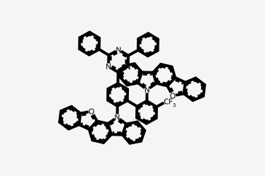 FC(F)(F)c1cccc(-c2cc(-c3nc(-c4ccccc4)nc(-c4ccccc4)n3)ccc2-n2c3ccccc3c3ccc4c5ccccc5oc4c32)c1-n1c2ccccc2c2ccc3c4ccccc4oc3c21